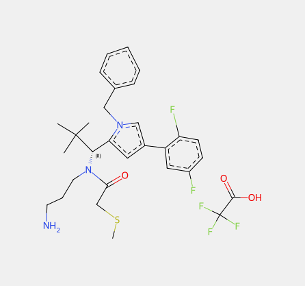 CSCC(=O)N(CCCN)[C@@H](c1cc(-c2cc(F)ccc2F)cn1Cc1ccccc1)C(C)(C)C.O=C(O)C(F)(F)F